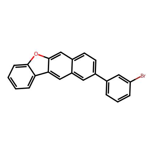 Brc1cccc(-c2ccc3cc4oc5ccccc5c4cc3c2)c1